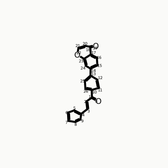 O=C(/C=C/c1ccccc1)c1ccc(-c2ccc3c(=O)ccoc3c2)cc1